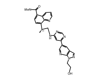 CNC(=O)c1ccc([C@H](C)CNc2cc(-c3cnc4c(cnn4CCO)c3)ncn2)c2ncccc12